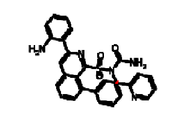 NC(=O)N(Cc1ccccn1)S(=O)(=O)c1nc(-c2ccccc2N)cc2cccc(-c3ccccc3)c12